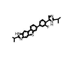 CC(C)c1ncc(-c2ccc(-c3ccc4c(c3)sc3cc5nc(C(C)C)[nH]c5cc34)cc2F)[nH]1